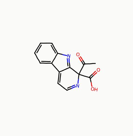 CC(=O)C1(C(=O)O)N=CC=C2C1=Nc1ccccc12